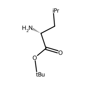 CC(C)C[C@@H](N)C(=O)OC(C)(C)C